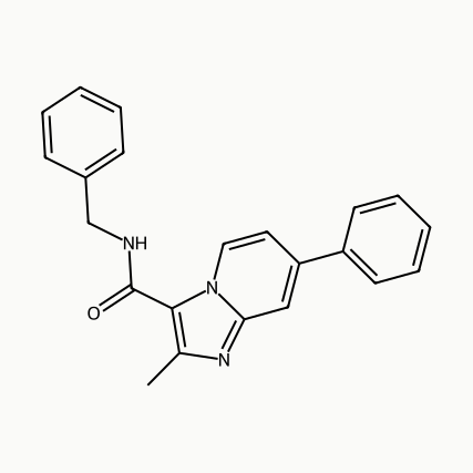 Cc1nc2cc(-c3ccccc3)ccn2c1C(=O)NCc1ccccc1